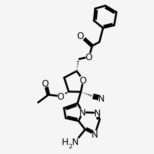 CC(=O)O[C@@H]1C[C@H](COC(=O)Cc2ccccc2)O[C@@]1(C#N)c1ccc2c(N)ncnn12